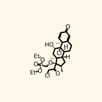 CCOP(=O)(CO[C@]1(C(=O)CCl)[C@H](C)C[C@H]2[C@@H]3CCC4=CC(=O)C=C[C@]4(C)[C@@]3(Cl)[C@@H](O)C[C@@]21C)OCC